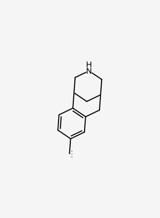 [C]c1ccc2c(c1)CC1CNCC2C1